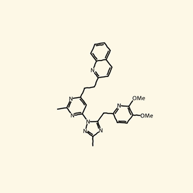 COc1ccc(Cc2nc(C)nn2-c2cc(CCc3ccc4ccccc4n3)nc(C)n2)nc1OC